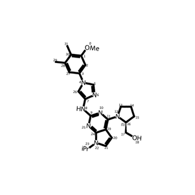 COc1cc(-n2cnc(Nc3nc(N4CCC[C@H]4CO)c4ccn(C(C)C)c4n3)c2)cc(C)c1C